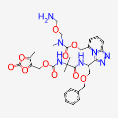 Cc1oc(=O)oc1COC(=O)NC(C)(C)C(=O)NC(COCc1ccccc1)c1nnc2cccc(COC(=O)N(C)COCN)n12